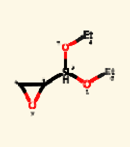 CCO[SiH](OCC)C1CO1